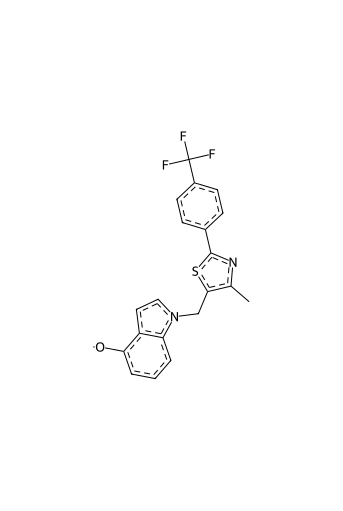 Cc1nc(-c2ccc(C(F)(F)F)cc2)sc1Cn1ccc2c([O])cccc21